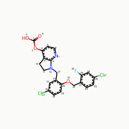 O=C(O)Oc1ccnc2c1CCN2Cc1cc(Cl)ccc1OCc1ccc(Cl)cc1F